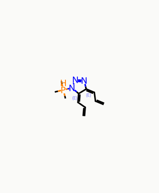 C=C/C=c1/nnn([PH](C)(C)C)/c1=C/C=C